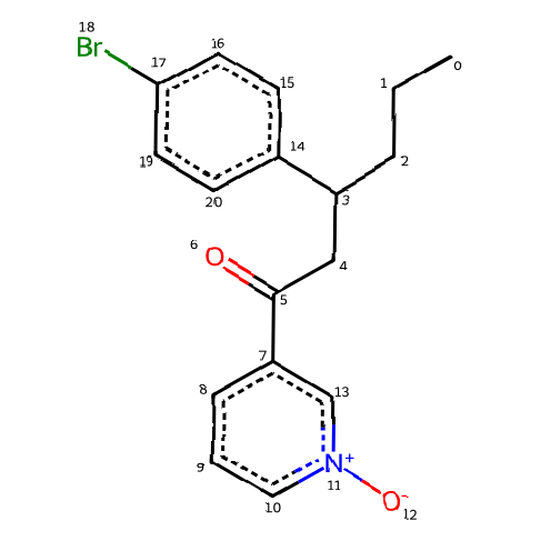 CCCC(CC(=O)c1ccc[n+]([O-])c1)c1ccc(Br)cc1